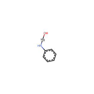 [OH][Hg][NH]c1ccccc1